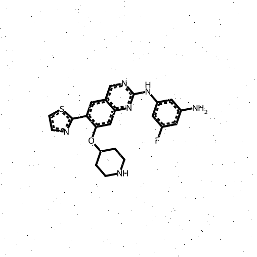 Nc1cc(F)cc(Nc2ncc3cc(-c4nccs4)c(OC4CCNCC4)cc3n2)c1